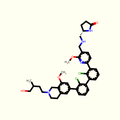 COc1cc(-c2cccc(-c3cccc(-c4ccc(CNC[C@@H]5CCC(=O)N5)c(OC)n4)c3Cl)c2Cl)cc2c1CN(CCC(C)CO)CC2